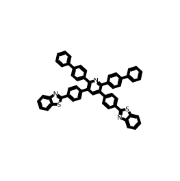 c1ccc(-c2ccc(-c3nc(-c4ccc(-c5ccccc5)cc4)c(-c4ccc(-c5nc6ccccc6s5)cc4)cc3-c3ccc(-c4nc5ccccc5s4)cc3)cc2)cc1